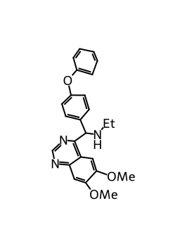 CCNC(c1ccc(Oc2ccccc2)cc1)c1ncnc2cc(OC)c(OC)cc12